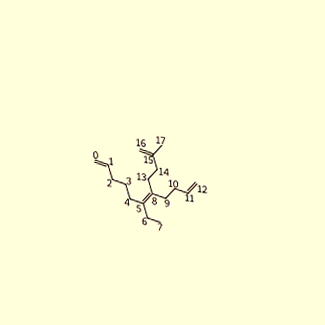 C=CCCCC(CC)=C(CCC=C)CCC(=C)C